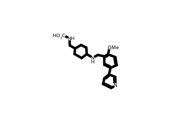 COc1ccc(-c2cccnc2)cc1CNC1CCC(CNC(=O)O)CC1